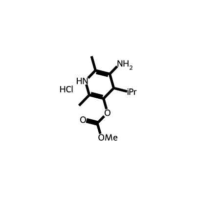 COC(=O)OC1=C(C)NC(C)=C(N)C1C(C)C.Cl